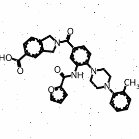 Cc1ccccc1N1CCN(c2ccc(C(=O)N3Cc4ccc(C(=O)O)cc4C3)cc2NC(=O)c2ccco2)CC1